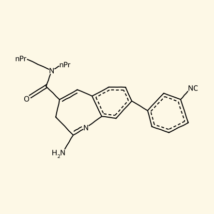 [C-]#[N+]c1cccc(-c2ccc3c(c2)N=C(N)CC(C(=O)N(CCC)CCC)=C3)c1